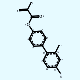 C=C(C)C(=O)Oc1ccc(-c2ccc(I)cc2C)cc1